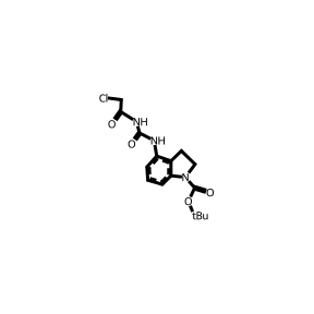 CC(C)(C)OC(=O)N1CCc2c(NC(=O)NC(=O)CCl)cccc21